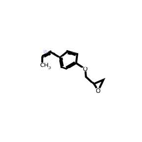 C/C=C\c1ccc(OCC2CO2)cc1